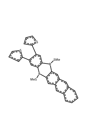 CSB1c2cc(-c3cccs3)c(-c3cccs3)cc2B(SC)c2cc3cc4ccccc4cc3cc21